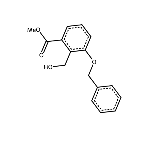 COC(=O)c1cccc(OCc2ccccc2)c1CO